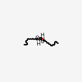 CC/C=C\C/C=C\C/C=C\CCCCCCCC(=O)N[C@@H]1CC[C@H](NC(=O)CCCCCCC/C=C\C/C=C\C/C=C\CC)C1